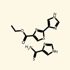 CCOC(=O)c1csc(-c2c[nH]cn2)n1.NC(=S)c1c[nH]cn1